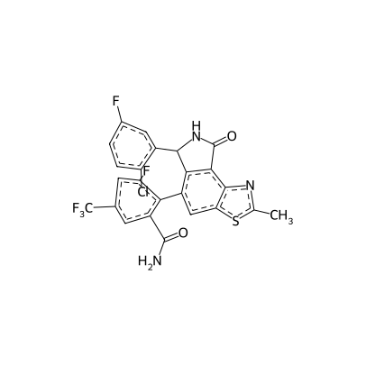 Cc1nc2c3c(c(-c4c(F)cc(C(F)(F)F)cc4C(N)=O)cc2s1)C(c1cc(F)ccc1Cl)NC3=O